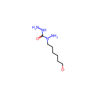 NNC(=O)N(N)CCCCCC[O]